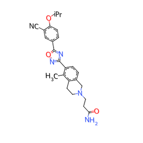 Cc1c(-c2noc(-c3ccc(OC(C)C)c(C#N)c3)n2)ccc2c1CCN(CCC(N)=O)C2